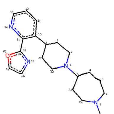 O=C(O)N1CCCC(N2CCC(c3cccnc3-c3ncco3)CC2)CC1